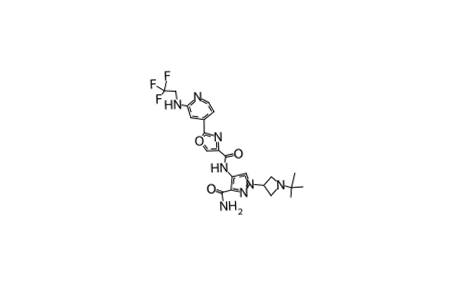 CC(C)(C)N1CC(n2cc(NC(=O)c3coc(-c4ccnc(NCC(F)(F)F)c4)n3)c(C(N)=O)n2)C1